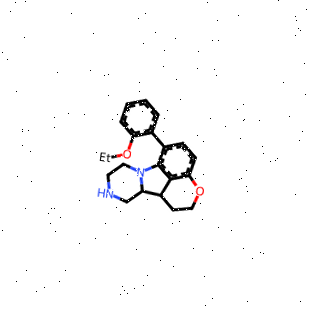 CCOc1ccccc1-c1ccc2c3c1N1CCNCC1C3CCO2